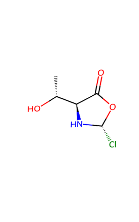 C[C@@H](O)[C@@H]1N[C@@H](Cl)OC1=O